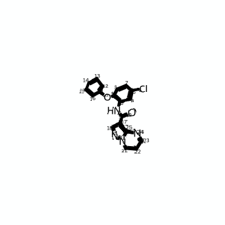 O=C(Nc1cc(Cl)ccc1Oc1ccccc1)c1cnn2cccnc12